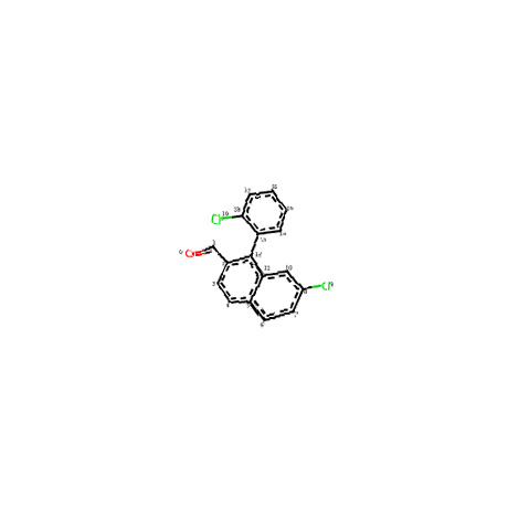 O=Cc1ccc2ccc(Cl)cc2c1-c1ccccc1Cl